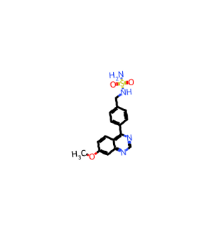 COc1ccc2c(-c3ccc(CNS(N)(=O)=O)cc3)ncnc2c1